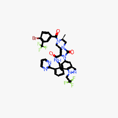 C[C@H]1Cn2c(c(C(=O)NCc3ccccc3-c3ncccn3)n(-c3ccc4c(cnn4CC(F)(F)F)c3)c2=O)CN1C(=O)c1ccc(Br)c(C(F)(F)F)c1